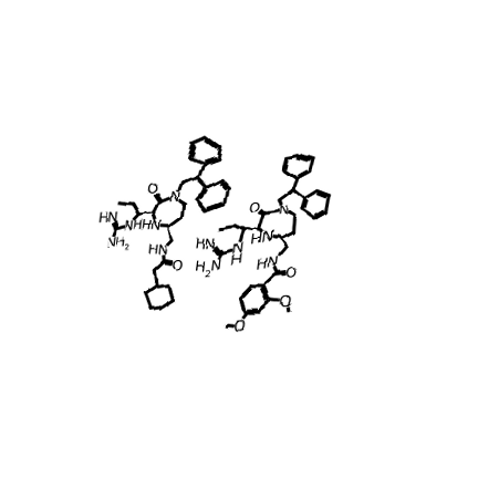 CCC(NC(=N)N)[C@@H]1N[C@H](CNC(=O)CC2CCCCC2)CCN(CC(c2ccccc2)c2ccccc2)C1=O.CCC(NC(=N)N)[C@@H]1N[C@H](CNC(=O)c2ccc(OC)cc2OC)CCN(CC(c2ccccc2)c2ccccc2)C1=O